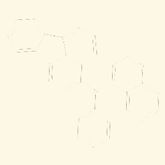 c1ccc(N(c2ccnc3ccccc23)c2ccc3c4c(cccc24)-c2ccccc2-3)cc1